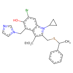 CCOC(=O)c1c(CSC(C)c2ccccc2)n(C2CC2)c2cc(Br)c(O)c(Cn3ccnc3)c12